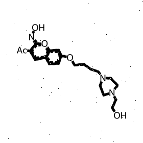 CC(=O)c1cc2ccc(OCCCCN3CCN(CCO)CC3)cc2oc1=NO